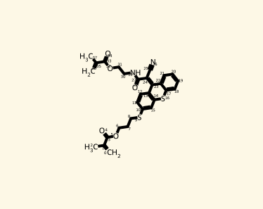 C=C(C)C(=O)OCCCSc1ccc2c(c1)Sc1ccccc1C2=C(C#N)C(=O)NCCOC(=O)C(=C)C